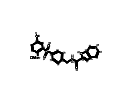 COc1ccc(C(C)=O)cc1S(=O)(=O)c1ccc(CNC(=O)c2cc3ccncc3o2)cc1